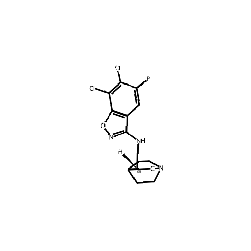 Fc1cc2c(N[C@@H]3CN4CCC3CC4)noc2c(Cl)c1Cl